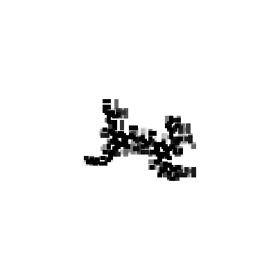 COCC(=O)Nc1c(I)c(C(=O)NCC(O)CO)cc(C(=O)NC(I)C(=O)Nc2c(I)c(C(=O)N(C)CC(O)CO)c(I)c(C(=O)N(C)CC(O)CO)c2I)c1I